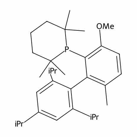 COc1ccc(C)c(-c2c(C(C)C)cc(C(C)C)cc2C(C)C)c1P1C(C)(C)CCCC1(C)C